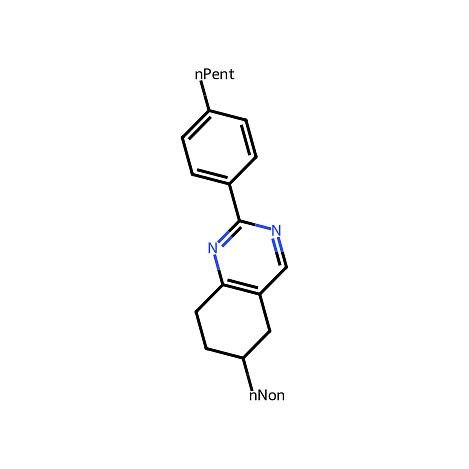 CCCCCCCCCC1CCc2nc(-c3ccc(CCCCC)cc3)ncc2C1